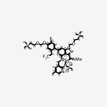 CNC(=O)c1nn(COCC[Si](C)(C)C)c2cc(-c3cc(F)c(OCOCC[Si](C)(C)C)cc3CC(F)(F)F)nc(NCc3cc(C)cnc3N(C)S(C)(=O)=O)c12